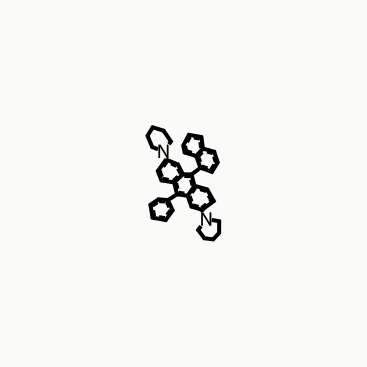 c1ccc(-c2c3cc(N4CCCCC4)ccc3c(-c3cccc4ccccc34)c3cc(N4CCCCC4)ccc23)cc1